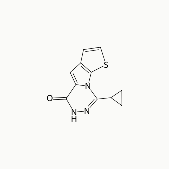 O=c1[nH]nc(C2CC2)n2c1cc1ccsc12